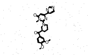 COc1ccc(C(=O)C2CCCN(c3nc(-c4ccncn4)cc(=O)n3C)C2)cc1OC